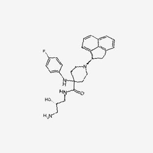 NC[C@H](O)CNC(=O)C1(Nc2ccc(F)cc2)CCN([C@@H]2Cc3cccc4cccc2c34)CC1